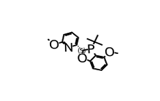 COc1cccc([C@H]2Oc3cccc(OC)c3P2C(C)(C)C)n1